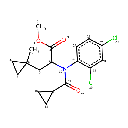 COC(=O)C(CC1(C)CC1)N(C(=O)C1CC1)c1ccc(Cl)cc1Cl